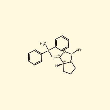 CC(C)P1O[C@@H](CS(C)(c2ccccc2)c2ccccc2)[C@H]2CCCN21